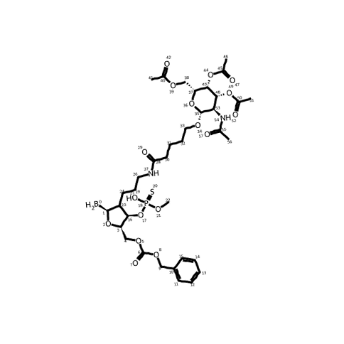 B[C@@H]1O[C@H](COC(=O)OCc2ccccc2)[C@H](OP(O)(=S)OC)C1CCCNC(=O)CCCCO[C@@H]1O[C@H](COC(C)=O)[C@H](OC(C)=O)[C@H](OC(C)=O)[C@H]1NC(C)=O